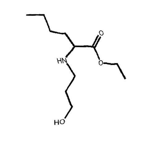 CCCCC(NCCCO)C(=O)OCC